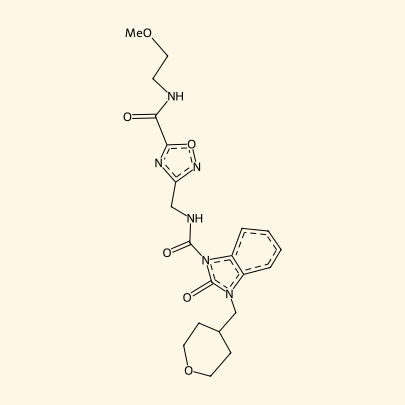 COCCNC(=O)c1nc(CNC(=O)n2c(=O)n(CC3CCOCC3)c3ccccc32)no1